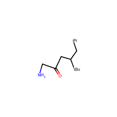 CC(C)CC(CC(=O)CN)C(C)(C)C